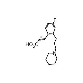 O=C(O)/C=C/c1ccc(F)cc1CCCN1CCCCC1